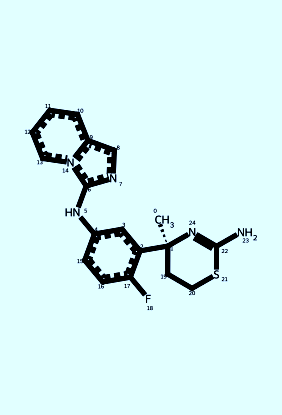 C[C@@]1(c2cc(Nc3ncc4ccccn34)ccc2F)CCSC(N)=N1